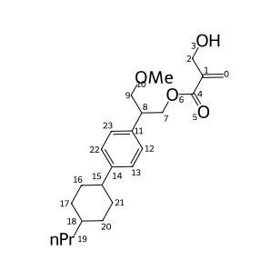 C=C(CO)C(=O)OCC(COC)c1ccc(C2CCC(CCC)CC2)cc1